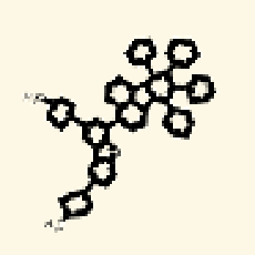 Cc1ccc(-c2ccc3sc4c(-c5ccc6c7c(cccc57)-c5c(-c7ccccc7)c(-c7ccccc7)c(-c7ccccc7)c(-c7ccccc7)c5-6)cc(-c5ccc(C)cc5)cc4c3c2)cc1